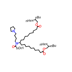 CCCCCCCCC(=O)N(CCCCN1CCCC1)C(CCCCCCCCCC(=O)OCC(CCCC)CCCCCC)CCCCCCCCC(=O)OCC(CCCC)CCCCCC